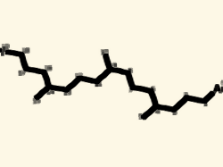 CC(=O)CCCC(C)CCCC(C)CCCC(C)CCCC(C)C